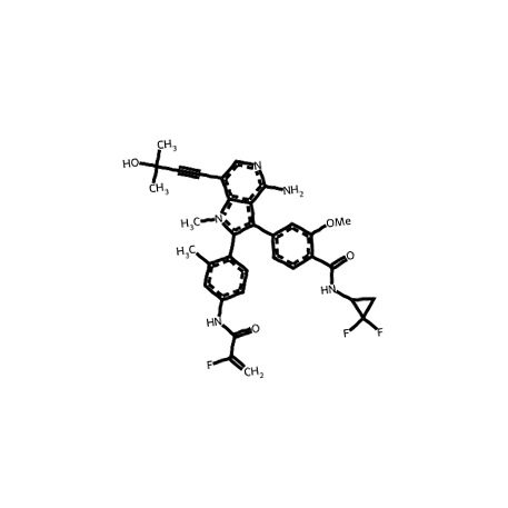 C=C(F)C(=O)Nc1ccc(-c2c(-c3ccc(C(=O)NC4CC4(F)F)c(OC)c3)c3c(N)ncc(C#CC(C)(C)O)c3n2C)c(C)c1